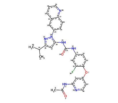 CC(=O)Nc1cc(Oc2ccc(NC(=O)Nc3cc(C(C)C)nn3-c3ccc4ncccc4c3)cc2F)ccn1